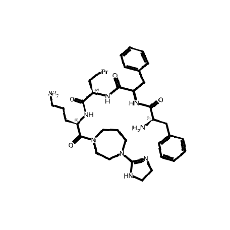 CC(C)C[C@@H](NC(=O)C(Cc1ccccc1)NC(=O)[C@H](N)Cc1ccccc1)C(=O)N[C@H](CCCN)C(=O)N1CCCN(C2=NCCN2)CC1